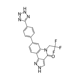 O=c1c2c[nH]nc2c2ccc(-c3ccc(-c4nn[nH]n4)cc3)cc2n1CC(F)(F)F